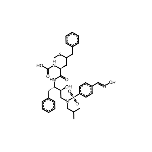 CSC(Cc1ccccc1)C[C@H](NC(=O)O)C(=O)N[C@@H](Cc1ccccc1)[C@@H](O)CN(CC(C)C)S(=O)(=O)c1ccc(C=NO)cc1